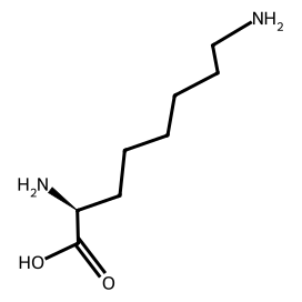 NCCCCCC[C@H](N)C(=O)O